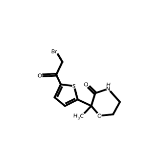 CC1(c2ccc(C(=O)CBr)s2)OCCNC1=O